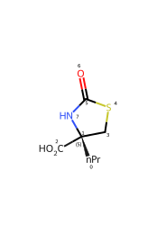 CCC[C@]1(C(=O)O)CSC(=O)N1